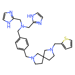 c1csc(CN2CCC3(CCN(Cc4ccc(CN(Cc5ncc[nH]5)Cc5ncc[nH]5)cc4)C3)C2)c1